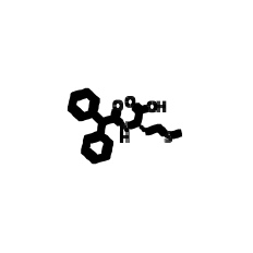 CSCC[C@H](NC(=O)C(c1ccccc1)c1ccccc1)C(=O)O